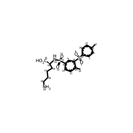 Cc1ccc(S(=O)(=O)c2cc(S(=O)(=O)N[C@@H](CCCCN)C(=O)O)ccc2C)cc1